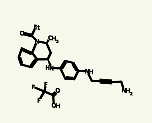 CCC(=O)N1c2ccccc2[C@H](Nc2ccc(NCC#CCN)cc2)C[C@@H]1C.O=C(O)C(F)(F)F